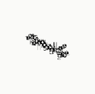 COC[C@H]1C[C@@H](c2nc(Cl)c(-c3ccc4c(c3)COc3cc5c(ccc6nc([C@@H]7CC[C@H](C)N7C(=O)[C@@H](NC(=O)OC)C(C)C)[nH]c65)cc3-4)[nH]2)N(C(=O)[C@@H](NC(=O)OC)[C@@H](C)OC)C1